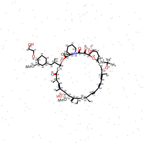 [2H]C([2H])([2H])O[C@H]1C[C@@H]2CC[C@@H](C)[C@@](O)(O2)C(=O)C(=O)N2CCCC[C@H]2C(=O)O[C@H]([C@H](C)C[C@@H]2CC[C@@H](OCCO)[C@H](OC)C2)CC(=O)[C@H](C)/C=C(\C)[C@@H](O)[C@@H](OC)C(=C)[C@H](C)C[C@H](C)/C=C/C=C/C=C/1C